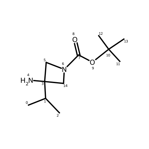 CC(C)C1(N)CN(C(=O)OC(C)(C)C)C1